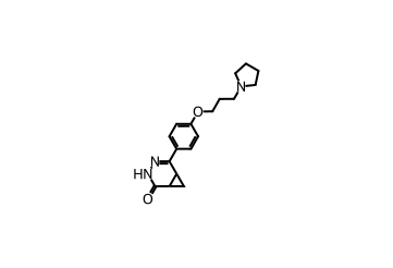 O=C1NN=C(c2ccc(OCCCN3CCCC3)cc2)C2CC12